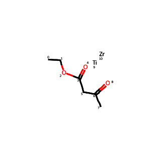 CCOC(=O)CC(C)=O.[Ti].[Zr]